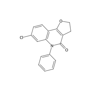 O=c1c2c(c3ccc(Cl)cc3n1-c1ccccc1)OCC2